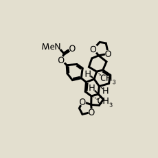 CNC(=O)Oc1ccc(C2=C[C@@]3(C)[C@@H](CCC34OCCO4)[C@@H]3CC=C4CC5(CC[C@]4(C)[C@@H]23)OCCO5)cc1